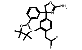 Cc1cc(C2(c3cccc(B4OC(C)(C)C(C)(C)O4)c3)COC(N)=N2)ccc1CC(F)F